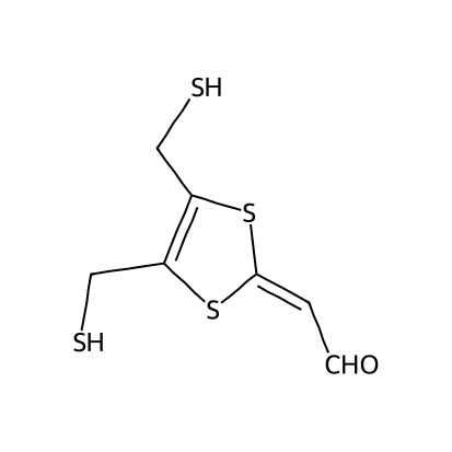 O=CC=C1SC(CS)=C(CS)S1